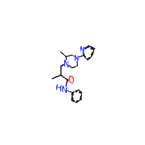 CC(CN1CCN(c2ccccn2)CC1C)C(=O)Nc1ccccc1